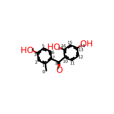 Cc1cc(O)ccc1C(=O)c1ccc(O)cc1O